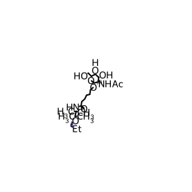 CC/C=C\OC(C)(C)C(C)(C)NC(=O)CCCCCOC1OC(CO)C(O)C(O)[C@@H]1NC(C)=O